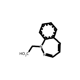 O=C(O)CN1N=CC=Cc2ccccc21